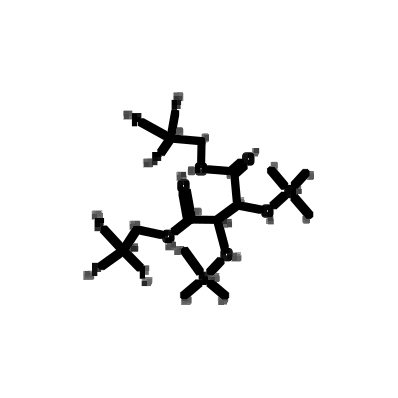 C[Si](C)(C)OC(C(=O)OCC(F)(F)F)C(O[Si](C)(C)C)C(=O)OCC(F)(F)F